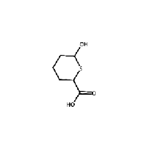 O=C(O)C1CCCC(O)S1